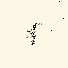 CNCc1ccc(CC(=O)N[C@]2(OC)C(=O)N3C(C(=O)O)=C(CSc4nnc(C)s4)CS[C@H]32)s1